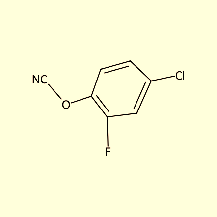 N#COc1ccc(Cl)cc1F